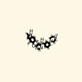 Cc1cc2c(F)c(Oc3ncnc(Nc4cccc(N5CCN(C)CC5)c4)c3F)ccc2[nH]1